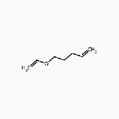 C=CCCCOC=C